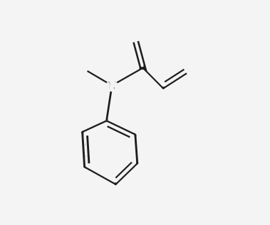 C=CC(=C)N(I)c1ccccc1